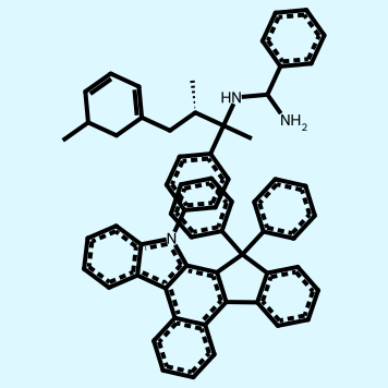 CC1C=CC=C(C[C@H](C)C(C)(NC(N)c2ccccc2)c2ccc(-n3c4ccccc4c4c5ccccc5c5c(c43)C(c3ccccc3)(c3ccccc3)c3ccccc3-5)cc2)C1